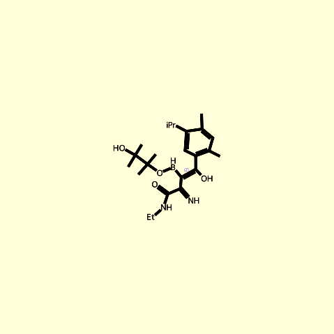 CCNC(=O)C(=N)/C(BOC(C)(C)C(C)(C)O)=C(\O)c1cc(C(C)C)c(C)cc1C